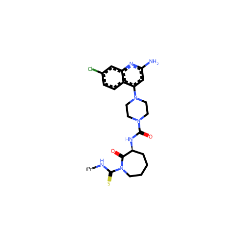 CC(C)NC(=S)N1CCCC[C@H](NC(=O)N2CCN(c3cc(N)nc4cc(Cl)ccc34)CC2)C1=O